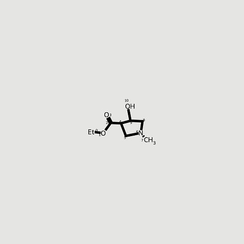 CCOC(=O)C1CN(C)CC1O